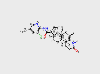 CC1=C2N(C)C(=O)CC[C@]2(C)[C@H]2CC[C@]3(C)[C@@H](C(=O)Nc4ncc(C(F)(F)F)cc4Cl)CC[C@H]3[C@@H]2C1